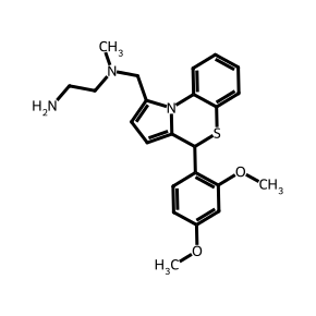 COc1ccc(C2Sc3ccccc3-n3c(CN(C)CCN)ccc32)c(OC)c1